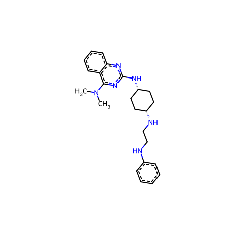 CN(C)c1nc(N[C@H]2CC[C@@H](NCCNc3ccccc3)CC2)nc2ccccc12